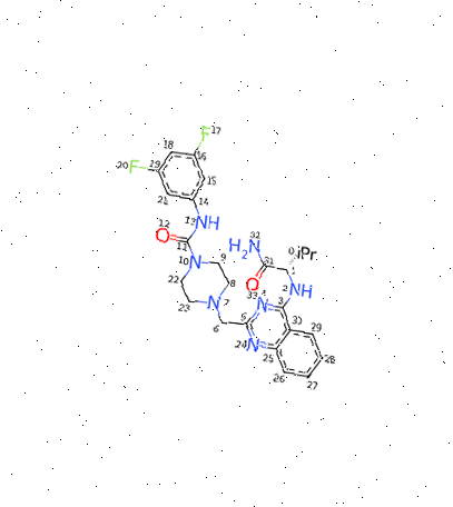 CC(C)[C@H](Nc1nc(CN2CCN(C(=O)Nc3cc(F)cc(F)c3)CC2)nc2ccccc12)C(N)=O